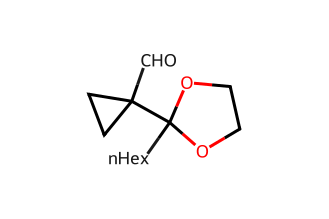 CCCCCCC1(C2(C=O)CC2)OCCO1